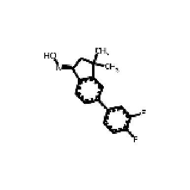 CC1(C)CC(=NO)c2ccc(-c3ccc(F)c(F)c3)cc21